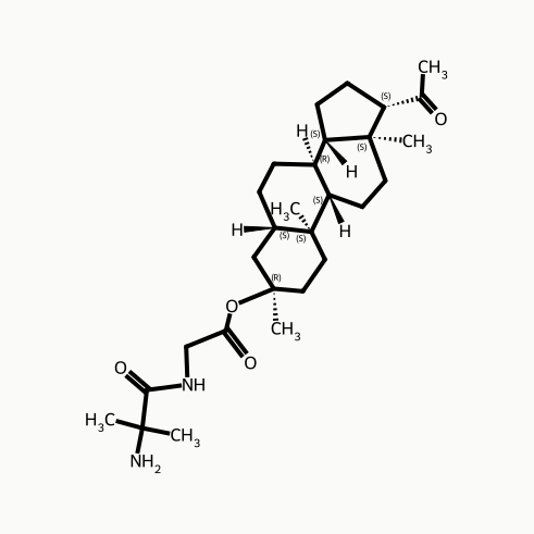 CC(=O)[C@H]1CC[C@H]2[C@@H]3CC[C@H]4C[C@](C)(OC(=O)CNC(=O)C(C)(C)N)CC[C@]4(C)[C@H]3CC[C@]12C